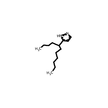 CCCCCCC(CCCC)c1ccn[nH]1